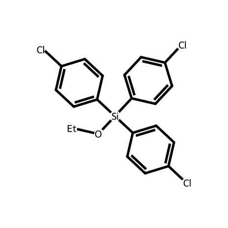 CCO[Si](c1ccc(Cl)cc1)(c1ccc(Cl)cc1)c1ccc(Cl)cc1